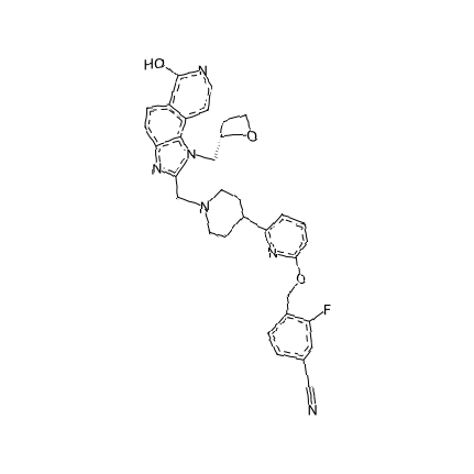 N#Cc1ccc(COc2cccc(C3CCN(Cc4nc5ccc6c(O)nccc6c5n4C[C@@H]4CCO4)CC3)n2)c(F)c1